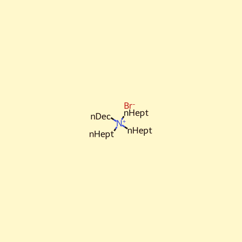 CCCCCCCCCC[N+](CCCCCCC)(CCCCCCC)CCCCCCC.[Br-]